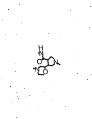 CNC(=O)C1CCN(C)CC1C1CN(C)CCO1